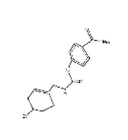 CCC1CC=C(CNC(=O)Oc2ccc(C(=O)OC)cc2)CC1